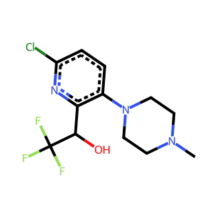 CN1CCN(c2ccc(Cl)nc2C(O)C(F)(F)F)CC1